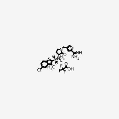 Cc1c(S(=O)(=O)N(C)[C@H]2CCN(Cc3csc(C(=N)N)c3)C2=O)sc2ccc(Cl)cc12.O=C(O)C(F)(F)F